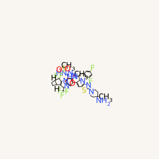 Cn1nc(NS(C)(=O)=O)c2cccc(-c3cc4sc(N5CCC(C)(N)CC5)nc4nc3C(Cc3cc(F)cc(F)c3)NC(=O)Cn3nc(C(F)(F)F)c4c3C(F)(F)[C@@H]3CC[C@H]43)c21